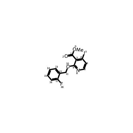 COC(=O)c1c(I)ccnc1OCc1ccccc1F